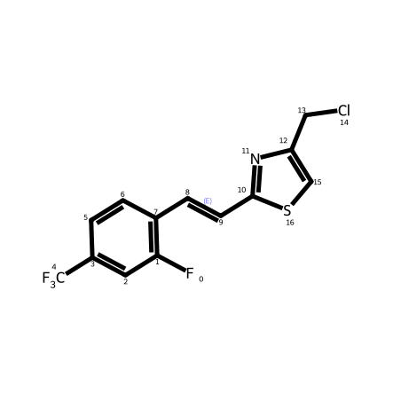 Fc1cc(C(F)(F)F)ccc1/C=C/c1nc(CCl)cs1